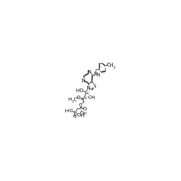 CO[C@H](COP(=O)(O)CP(=O)(O)O)[C@@H](O)[C@@H](O)n1cnc2c(NCc3ccc(C)cc3)ncnc21